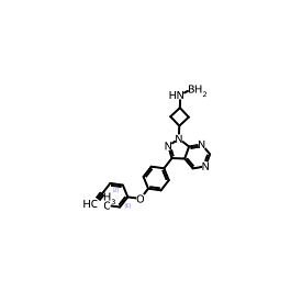 BNC1CC(n2nc(-c3ccc(OC(/C=C\C#C)=C/C)cc3)c3cncnc32)C1